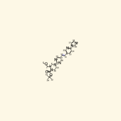 COC[C@H]1CN(c2ncc(/C=C/c3ccc(-n4ccnc4)nc3)cn2)CCN1C(=O)OC(C)(C)C